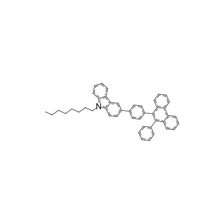 CCCCCCCCn1c2ccccc2c2cc(-c3ccc(-c4c(-c5ccccc5)c5ccccc5c5ccccc45)cc3)ccc21